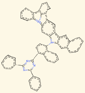 c1ccc(-c2nc(-c3ccccc3)nc(-c3ccc(-n4c5cc6ccccc6cc5c5cc6c7cccc8c9ccccc9n(c6cc54)c87)c4ccccc34)n2)cc1